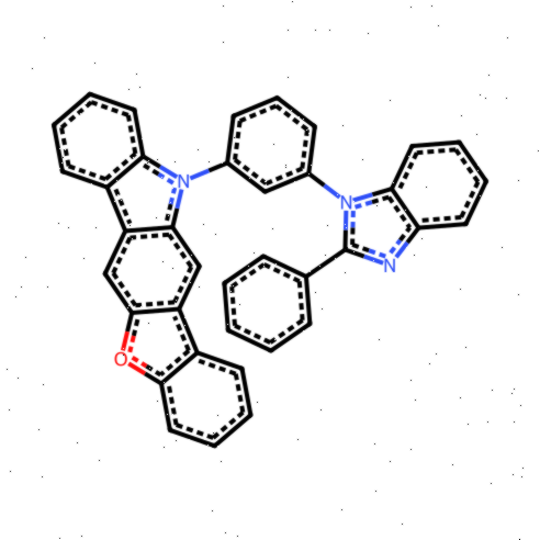 c1ccc(-c2nc3ccccc3n2-c2cccc(-n3c4ccccc4c4cc5oc6ccccc6c5cc43)c2)cc1